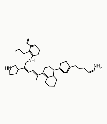 C=CC1=CCCC(NC/C(=C\C=C(/C)C2=C3CCCCC3C(C3=CC=C(CCC/C=C\N)CC3)CC2)C2CCNC2)=C1CCC